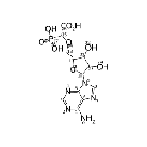 Nc1ncnc2c1ncn2C1OC(COC(C(=O)O)P(=O)(O)O)C(O)C1O